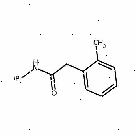 Cc1c[c]ccc1CC(=O)NC(C)C